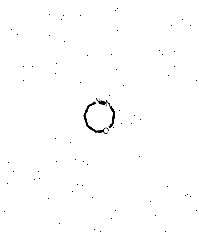 C1CCOCCN=NC1